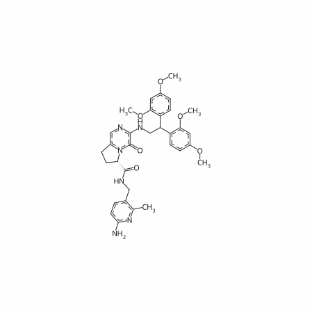 COc1ccc(C(CNc2ncc3n(c2=O)[C@H](C(=O)NCc2ccc(N)nc2C)CC3)c2ccc(OC)cc2OC)c(OC)c1